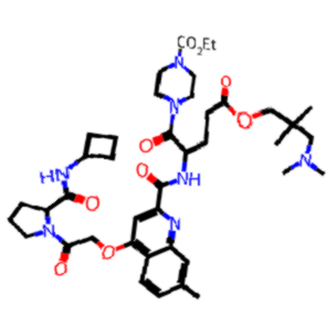 CCOC(=O)N1CCN(C(=O)C(CCC(=O)OCC(C)(C)CN(C)C)NC(=O)c2cc(OCC(=O)N3CCCC3C(=O)NC3CCC3)c3ccc(C)cc3n2)CC1